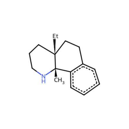 CC[C@]12CCCN[C@@]1(C)c1ccccc1CC2